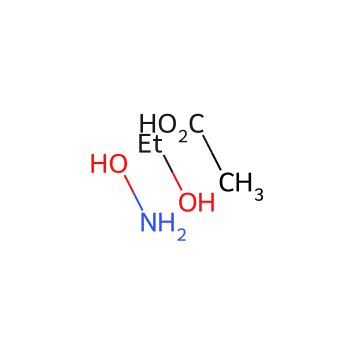 CC(=O)O.CCO.NO